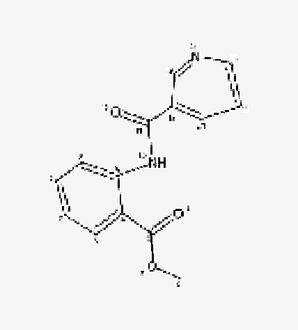 COC(=O)c1ccccc1NC(=O)c1cccnc1